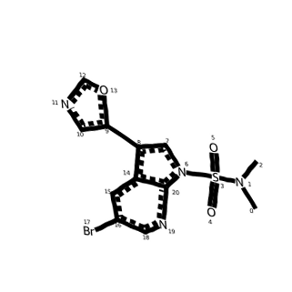 CN(C)S(=O)(=O)n1cc(-c2cnco2)c2cc(Br)cnc21